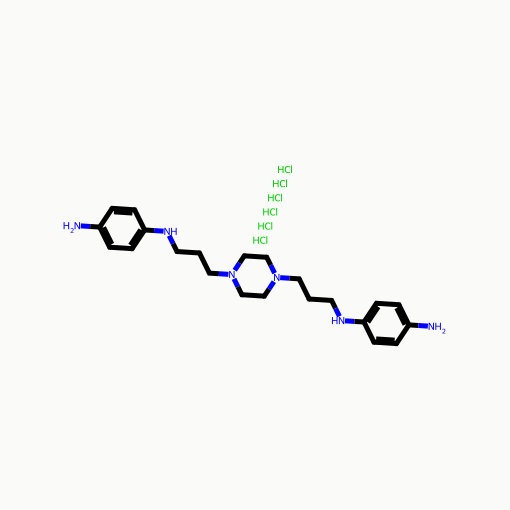 Cl.Cl.Cl.Cl.Cl.Cl.Nc1ccc(NCCCN2CCN(CCCNc3ccc(N)cc3)CC2)cc1